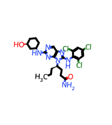 CCC[C@H](CCC(N)=O)n1c(Nc2c(Cl)cc(Cl)cc2Cl)nc2cnc(N[C@H]3CCC[C@H](O)C3)nc21